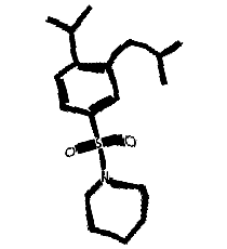 CC(C)Cc1cc(S(=O)(=O)N2CCCCC2)ccc1C(C)C